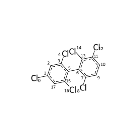 Clc1cc(Cl)c(-c2c(Cl)ccc(Cl)c2Cl)c(Cl)c1